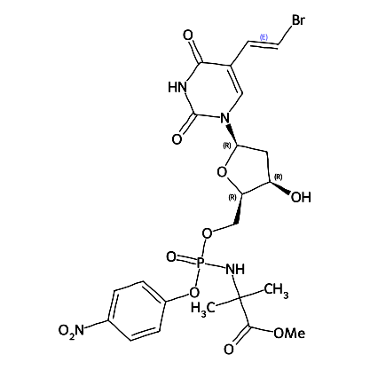 COC(=O)C(C)(C)NP(=O)(OC[C@H]1O[C@@H](n2cc(/C=C/Br)c(=O)[nH]c2=O)C[C@H]1O)Oc1ccc([N+](=O)[O-])cc1